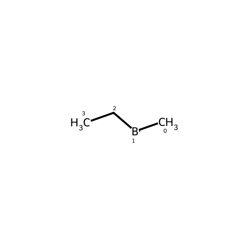 C[B]CC